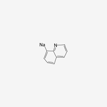 [Na][c]1cccc2cccnc12